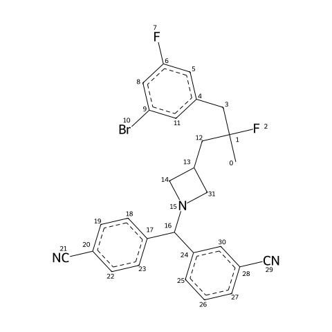 CC(F)(Cc1cc(F)cc(Br)c1)CC1CN(C(c2ccc(C#N)cc2)c2cccc(C#N)c2)C1